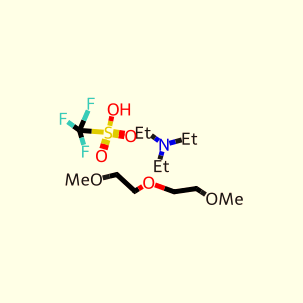 CCN(CC)CC.COCCOCCOC.O=S(=O)(O)C(F)(F)F